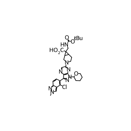 Cn1cc2c(Cl)c(-c3nn(C4CCCCO4)c4nc(N5CCC6C(C5)C6(CNC(=O)OC(C)(C)C)C(=O)O)cnc34)ccc2n1